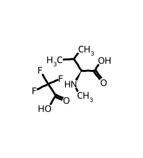 CN[C@H](C(=O)O)C(C)C.O=C(O)C(F)(F)F